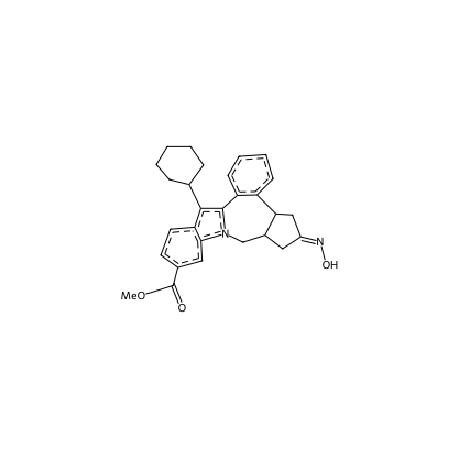 COC(=O)c1ccc2c(C3CCCCC3)c3n(c2c1)CC1C/C(=N\O)CC1c1ccccc1-3